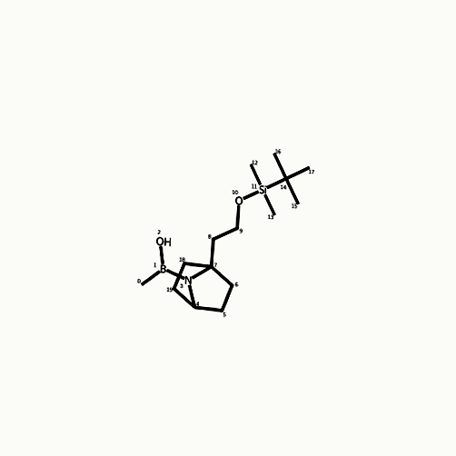 CB(O)N1C2CCC1(CCO[Si](C)(C)C(C)(C)C)CC2